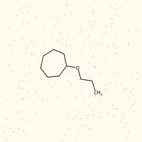 CC[CH]OC1CCCCCC1